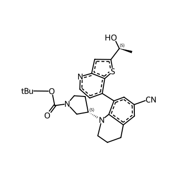 C[C@H](O)c1cc2nccc(-c3cc(C#N)cc4c3N([C@H]3CCN(C(=O)OC(C)(C)C)C3)CCC4)c2s1